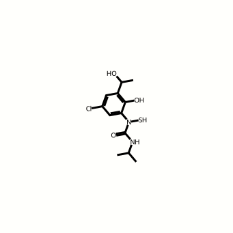 CC(C)NC(=O)N(S)c1cc(Cl)cc(C(C)O)c1O